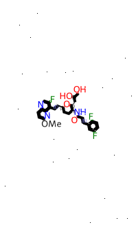 COc1ccc2ncc(F)c(/C=C/[C@@H]3CC[C@@H](NC(=O)/C=C/c4cc(F)ccc4F)[C@@H](C[C@@H](O)CO)O3)c2n1